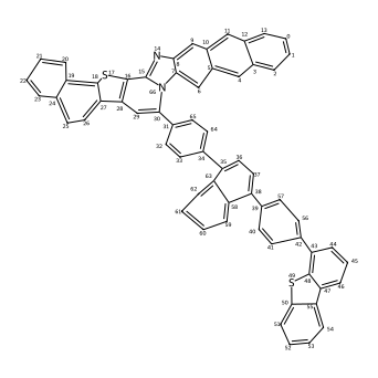 c1ccc2cc3cc4c(cc3cc2c1)nc1c2sc3c5ccccc5ccc3c2cc(-c2ccc(-c3ccc(-c5ccc(-c6cccc7c6sc6ccccc67)cc5)c5ccccc35)cc2)n41